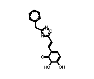 O=C1C(/C=C/c2nc(Cc3ccccc3)no2)=CC=C(O)C1O